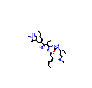 C=C1C(C/C(=C\CCC)C(=N)/C(CC)=C(\N/C=C/C=C\C=C/C)NC(=O)N[C@@H](CC)CCNC)C=NN1C